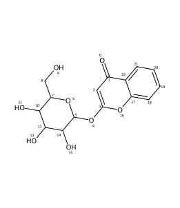 O=c1cc(OC2OC(CO)C(O)C(O)C2O)oc2ccccc12